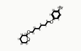 Brc1ccc(OCCCCCCOC2CCCCO2)cc1